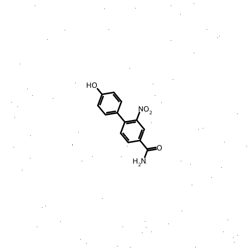 NC(=O)c1ccc(-c2ccc(O)cc2)c([N+](=O)[O-])c1